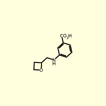 O=C(O)c1cccc(NCC2CCO2)c1